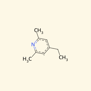 CCc1[c]c(C)nc(C)c1